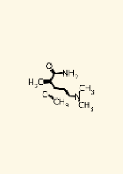 C=C(CCCN(C)C)C(N)=O.CCl